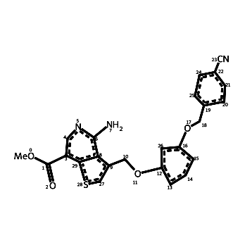 COC(=O)c1cnc(N)c2c(COc3cccc(OCc4ccc(C#N)cc4)c3)csc12